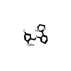 COc1ccc(F)cc1CSc1ccccc1C1=NCCCN1